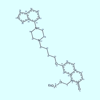 CCOC(=O)OCn1c(=O)ccc2ccc(OCCCCN3CCN(c4cccc5sccc45)CC3)cc21